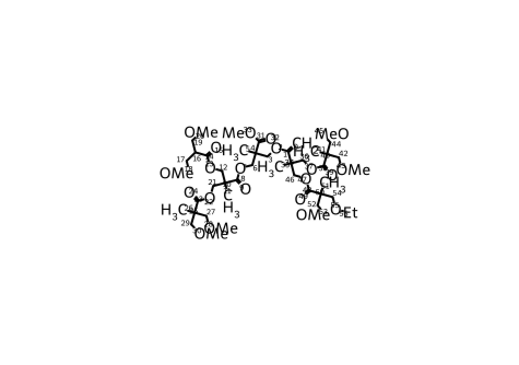 C=C(OCC(C)(COC(=O)C(C)(COC(=O)C(COC)COC)COC(=O)C(C)(COC)COC)C(=O)OC)C(C)(COC(=O)C(C)(COC)COC)COC(=O)C(C)(COC)COCC